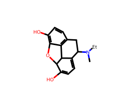 CCN(C)C1Cc2ccc(O)c3c2C2C1=CC=C(O)C2O3